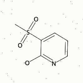 CS(=O)(=O)c1cccnc1[O]